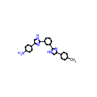 Cc1ccc(-c2c[nH]c(-c3cccc(-c4nc(-c5ccc(N)cc5)c[nH]4)c3)n2)cc1